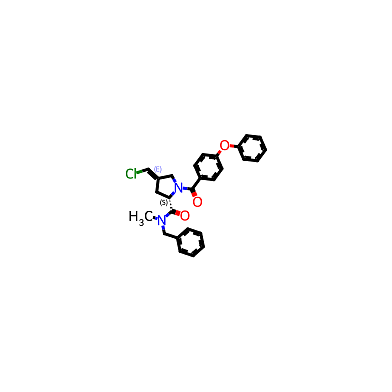 CN(Cc1ccccc1)C(=O)[C@@H]1C/C(=C\Cl)CN1C(=O)c1ccc(Oc2ccccc2)cc1